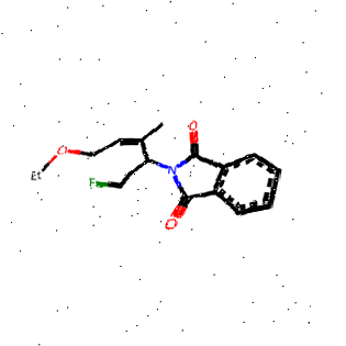 CCOC/C=C(/C)C(CF)N1C(=O)c2ccccc2C1=O